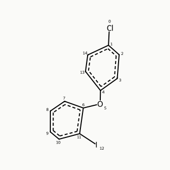 Clc1ccc(Oc2ccccc2I)cc1